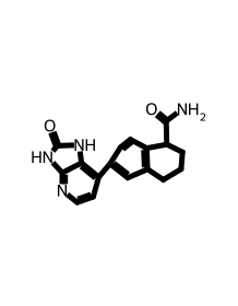 NC(=O)C1CCCc2cc(-c3ccnc4[nH]c(=O)[nH]c34)ccc21